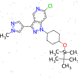 Cn1cc(-c2nn(C3CCC(O[Si](C)(C)C(C)(C)C)CC3)c3cc(Cl)ncc23)cn1